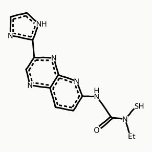 CCN(S)C(=O)Nc1ccc2ncc(-c3ncc[nH]3)nc2n1